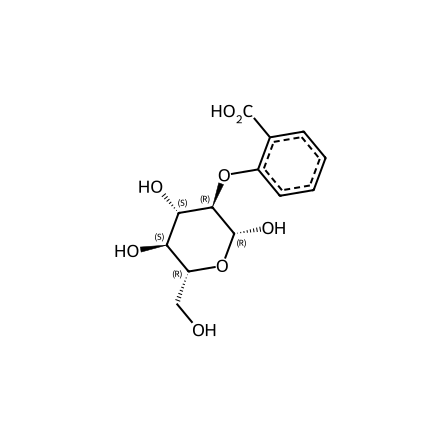 O=C(O)c1ccccc1O[C@@H]1[C@@H](O)[C@H](O)[C@@H](CO)O[C@H]1O